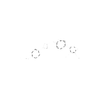 CCc1ccc(C2CC(Oc3ccc(-c4onc(O)c4F)cn3)C2)cc1